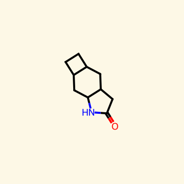 O=C1CC2CC3CCC3CC2N1